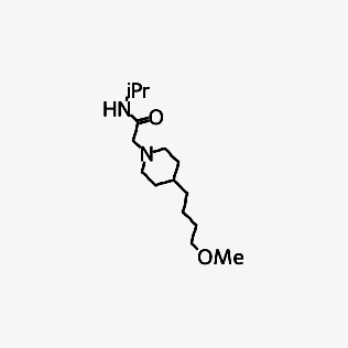 COCCCCC1CCN(CC(=O)NC(C)C)CC1